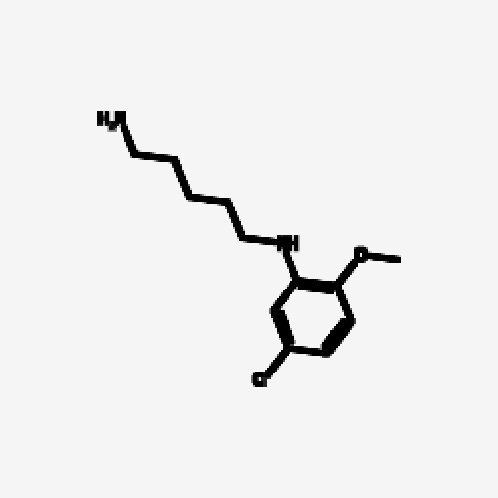 COc1ccc(Cl)cc1NCCCCCN